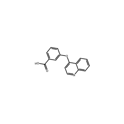 O=C(O)c1cccc(Oc2ccnc3ccccc23)c1